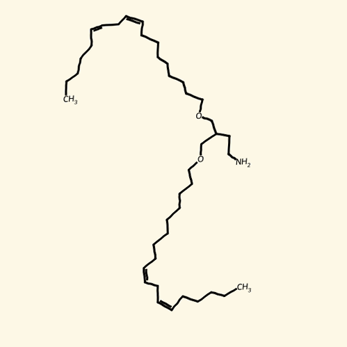 CCCCC/C=C\C/C=C\CCCCCCCCOCC(CCN)COCCCCCCCC/C=C\C/C=C\CCCCC